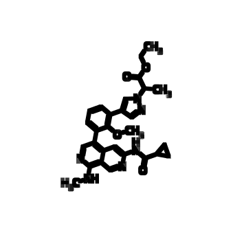 CCOC(=O)C(C)n1cc(-c2cccc(-c3cnc(NC)c4cnc(NC(=O)C5CC5)cc34)c2OC)cn1